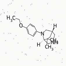 CCOc1ccc(N2C[C@@H]3CNC[C@@H]2C(C)(C)C3)cc1